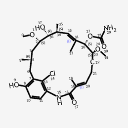 CO[C@H]1C[C@H](C)Cc2c(O)ccc(c2Cl)NC(=O)/C(C)=C/CC[C@H](OC)[C@@H](OC(N)=O)/C(C)=C/[C@H](C)[C@H]1O